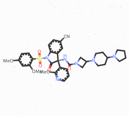 COc1ccc(S(=O)(=O)N2C(=O)[C@@](NC(=O)N3CC(N4CCC(N5CCCC5)CC4)C3)(c3cccnc3OC)c3cc(C#N)ccc32)c(OC)c1